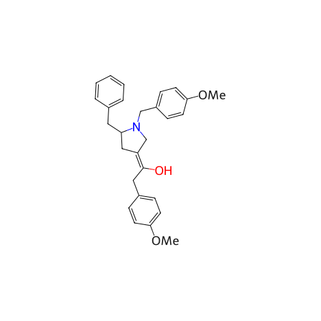 COc1ccc(CC(O)=C2CC(Cc3ccccc3)N(Cc3ccc(OC)cc3)C2)cc1